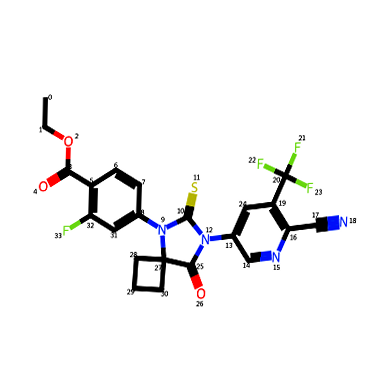 CCOC(=O)c1ccc(N2C(=S)N(c3cnc(C#N)c(C(F)(F)F)c3)C(=O)C23CCC3)cc1F